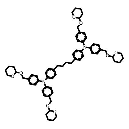 c1cc(N(c2ccc(COC3CCCCO3)cc2)c2ccc(COC3CCCCO3)cc2)ccc1CCCCc1ccc(N(c2ccc(COC3CCCCO3)cc2)c2ccc(COC3CCCCO3)cc2)cc1